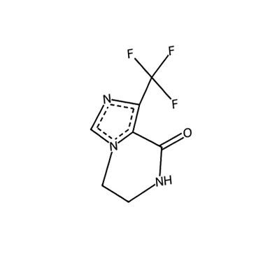 O=C1NCCn2cnc(C(F)(F)F)c21